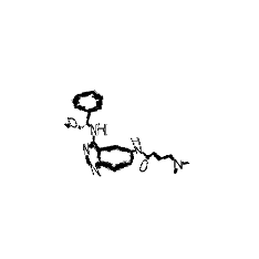 COC[C@@H](Nc1ncnc2ccc(NC(=O)/C=C/CN(C)C)cc12)c1ccccc1